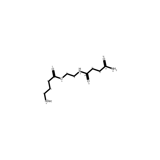 CCCCCCCCCCCCCC(=O)OCCNC(=O)CCC(N)=O